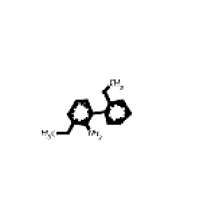 CCc1ccccc1-c1cccc(CC)c1N